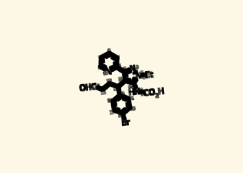 CCn1nc(-c2ccccn2)c(C(CCC=O)c2ccc(Br)cc2)c1NC(=O)O